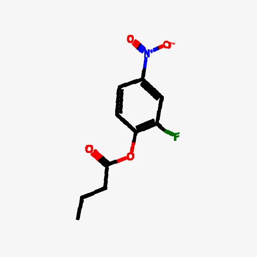 CCCC(=O)Oc1ccc([N+](=O)[O-])cc1F